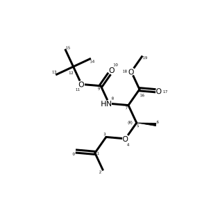 C=C(C)CO[C@H](C)C(NC(=O)OC(C)(C)C)C(=O)OC